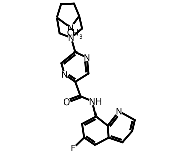 CN1C2CCC1CN(c1cnc(C(=O)Nc3cc(F)cc4cccnc34)cn1)C2